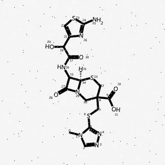 Cn1cnnc1SCC1(C(=O)O)CS[C@@H]2C(NC(=O)C(O)c3csc(N)n3)C(=O)N2C1